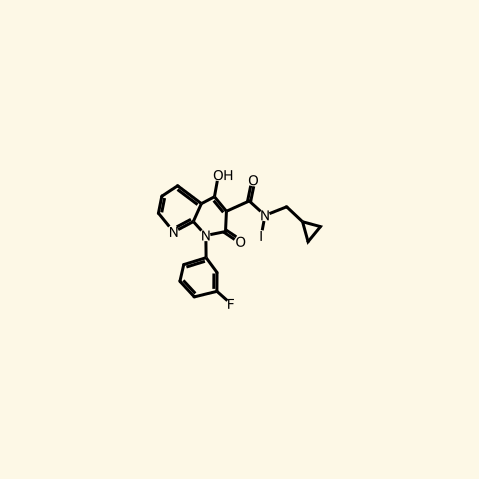 O=C(c1c(O)c2cccnc2n(-c2cccc(F)c2)c1=O)N(I)CC1CC1